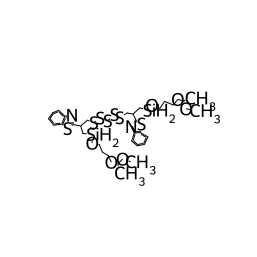 COC(C)OCCCO[SiH2]CC(CSSSSSCC(C[SiH2]OCCCOC(C)OC)c1nc2ccccc2s1)c1nc2ccccc2s1